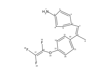 CC(=Cc1ccc(N)cc1)c1ccc(OC(F)=C(F)F)cc1